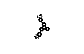 c1ccc2c(c1)c1ccc(-c3ccc4nccnc4c3)cc1c1ccc(-c3ccc4nccnc4c3)cc21